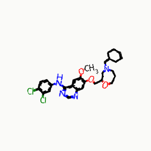 COc1cc2c(Nc3ccc(Cl)c(Cl)c3)ncnc2cc1OCC1CN(CC2CCCCC2)CCCO1